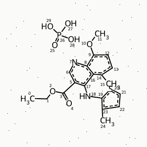 CCOC(=O)c1cnc2c(OC)ccc(C)c2c1Nc1sccc1C.O=P(O)(O)O